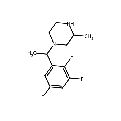 CC1CN(C(C)c2cc(F)cc(F)c2F)CCN1